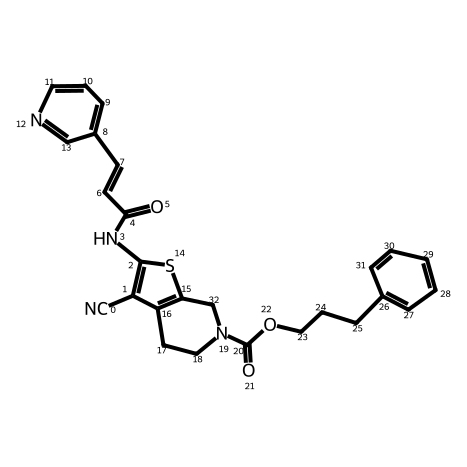 N#Cc1c(NC(=O)C=Cc2cccnc2)sc2c1CCN(C(=O)OCCCc1ccccc1)C2